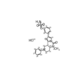 CN(C(=O)n1cnc(-c2cccc(OS(N)(=O)=O)c2)c1)C1CCN(c2ccccc2)CC1.Cl